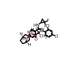 CC(C)(Oc1ccc(Cl)cc1Cl)C(=O)N[C@H]1C[C@H]2CC[C@@H](C1)N2c1ccc(C(=O)NC2CC2(F)F)cn1